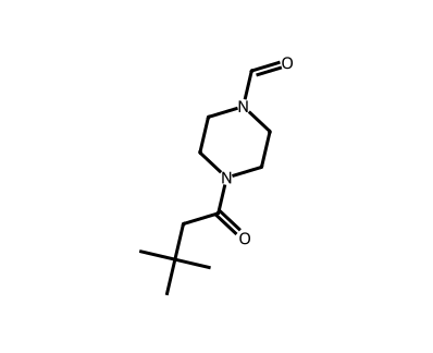 CC(C)(C)CC(=O)N1CCN(C=O)CC1